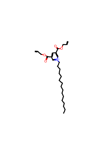 C=CCOC(=O)c1cc(C(=O)OCC=C)c[n+](CCCCCCCCCCCCCCCC)c1